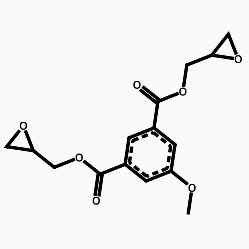 COc1cc(C(=O)OCC2CO2)cc(C(=O)OCC2CO2)c1